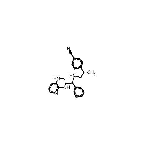 C[C@H](CN[C@@H](c1ccccc1)[C@H]1CNc2cccnc2N1)c1ccc(C#N)cc1